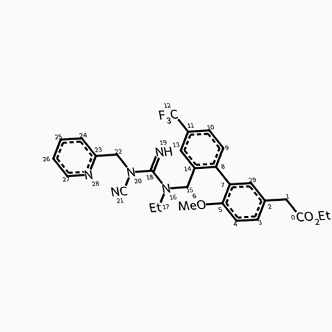 CCOC(=O)Cc1ccc(OC)c(-c2ccc(C(F)(F)F)cc2CN(CC)C(=N)N(C#N)Cc2ccccn2)c1